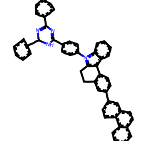 c1ccc(C2=NC(c3ccccc3)NC(c3ccc(-n4c5c(c6ccccc64)-c4ccc(-c6ccc7c(ccc8ccccc87)c6)cc4CC5)cc3)=N2)cc1